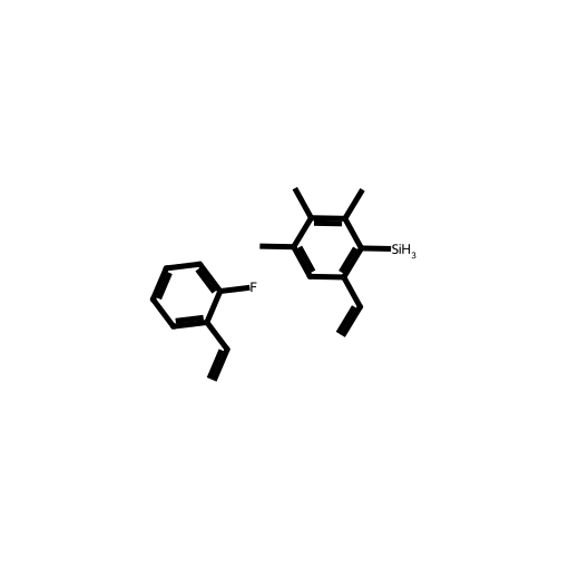 C=Cc1cc(C)c(C)c(C)c1[SiH3].C=Cc1ccccc1F